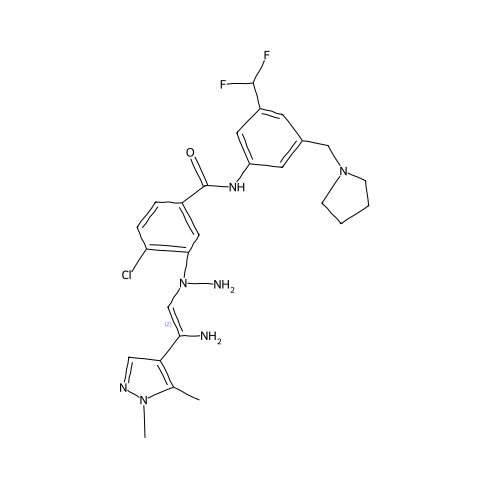 Cc1c(/C(N)=C/N(N)c2cc(C(=O)Nc3cc(CN4CCCC4)cc(C(F)F)c3)ccc2Cl)cnn1C